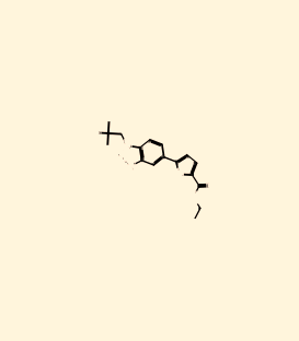 CCOC(=O)c1ccc(-c2ccc3c(c2)NNN3CC(C)(C)O)s1